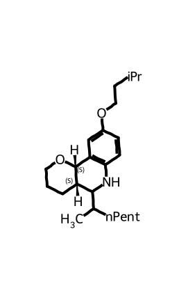 CCCCCC(C)C1Nc2ccc(OCCC(C)C)cc2[C@H]2OCCC[C@@H]12